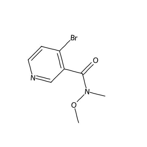 CON(C)C(=O)c1cnccc1Br